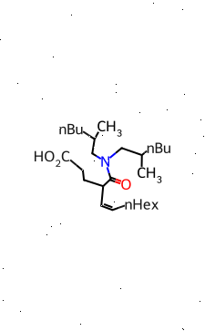 CCCCCC/C=C\C(CCC(=O)O)C(=O)N(CC(C)CCCC)CC(C)CCCC